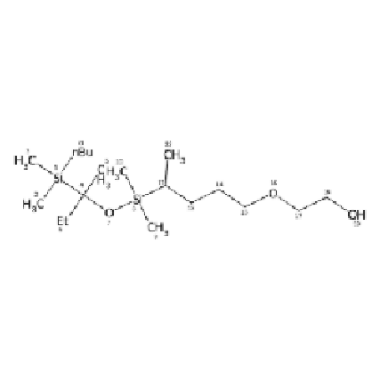 CCCC[Si](C)(C)C(C)(CC)O[Si](C)(C)C(C)CCCOCCO